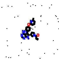 C=CC(=O)N1CC[C@H](c2c(-c3ccc(Oc4cccc(C)n4)cc3)c3c(N)ncnc3n2C)C1